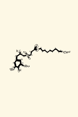 CCCCCCCCCCCCCCCCCCOC(=O)CCS(=O)(=O)CC(C)Cc1cc(C(C)(C)C)c(O)c(C(C)(C)C)c1